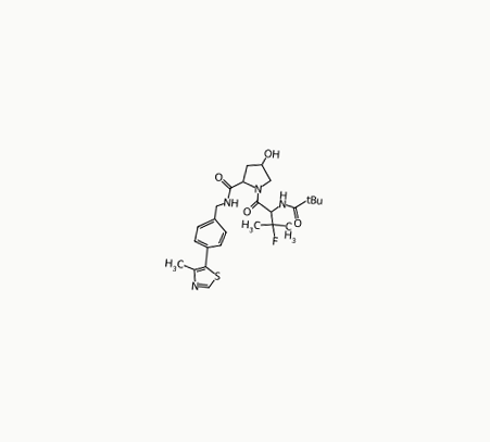 Cc1ncsc1-c1ccc(CNC(=O)C2CC(O)CN2C(=O)C(NC(=O)C(C)(C)C)C(C)(C)F)cc1